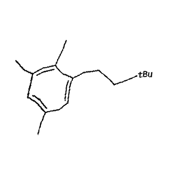 Cc1cc(C)c(C)c(CCC(C)(C)C)c1